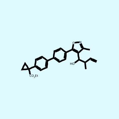 C=CC(C)C(O)c1c(C)noc1-c1ccc(-c2ccc(C3(C(=O)OCC)CC3)cc2)cc1